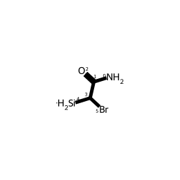 NC(=O)C([SiH2])Br